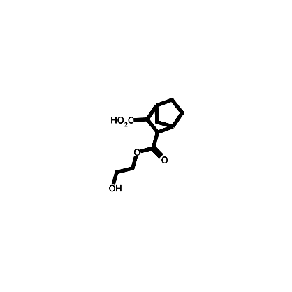 O=C(O)C1C2CCC(C2)C1C(=O)OCCO